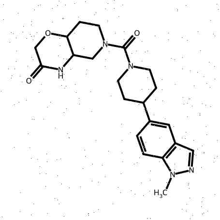 Cn1ncc2cc(C3CCN(C(=O)N4CCC5OCC(=O)NC5C4)CC3)ccc21